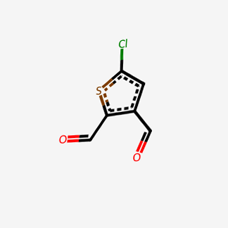 O=Cc1cc(Cl)sc1C=O